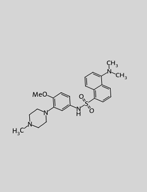 COc1ccc(NS(=O)(=O)c2cccc3c(N(C)C)cccc23)cc1N1CCN(C)CC1